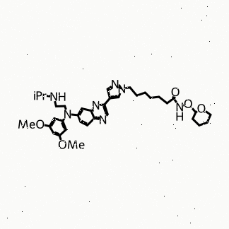 COc1cc(OC)cc(N(CCNC(C)C)c2ccc3ncc(-c4cnn(CCCCCCC(=O)NOC5CCCCO5)c4)nc3c2)c1